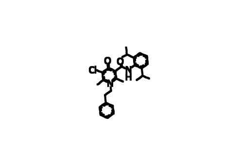 Cc1c(Cl)c(=O)c(C(=O)Nc2c(C(C)C)cccc2C(C)C)c(C)n1CCc1ccccc1